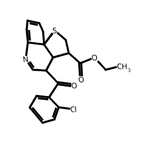 CCOC(=O)C1CSC23CC=CC=C2N=CC(C(=O)c2ccccc2Cl)C13